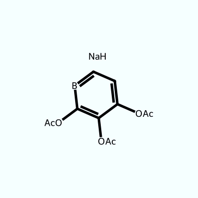 CC(=O)Oc1bccc(OC(C)=O)c1OC(C)=O.[NaH]